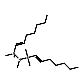 CCCCC/C=C/[SiH](C)N(C)[Si](C)(C)/C=C/CCCCC